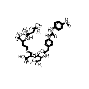 CC(C)CC(NC(=O)Cc1ccc(NC(=O)Nc2ccc([N+](=O)[O-])cc2)cc1)C(=O)NC(CSCCC(NC(=O)CC(C)(C)C)C(=O)O)C(=O)O